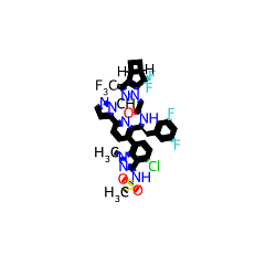 Cn1nccc1-c1ccc(-c2ccc(Cl)c3c(NS(C)(=O)=O)nn(C)c23)c([C@H](Cc2cc(F)cc(F)c2)NC(=O)Cn2nc(C(F)(F)F)c3c2C(F)(F)[C@@H]2CC[C@H]32)n1